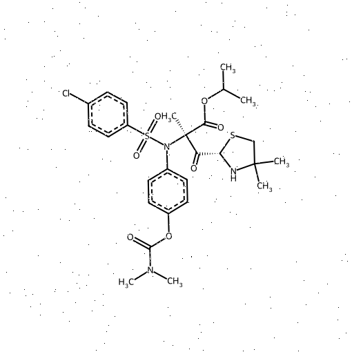 CC(C)OC(=O)[C@@](C)(C(=O)[C@H]1NC(C)(C)CS1)N(c1ccc(OC(=O)N(C)C)cc1)S(=O)(=O)c1ccc(Cl)cc1